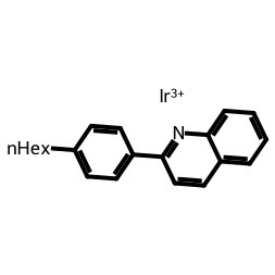 CCCCCCc1ccc(-c2ccc3ccccc3n2)cc1.[Ir+3]